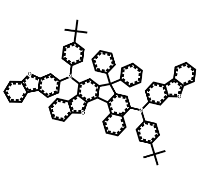 CC(C)(C)c1ccc(N(c2ccc3c(c2)oc2ccccc23)c2cc3c(c4ccccc24)-c2c(cc(N(c4ccc(C(C)(C)C)cc4)c4ccc5c(c4)oc4ccccc45)c4c2oc2ccccc24)C3(c2ccccc2)c2ccccc2)cc1